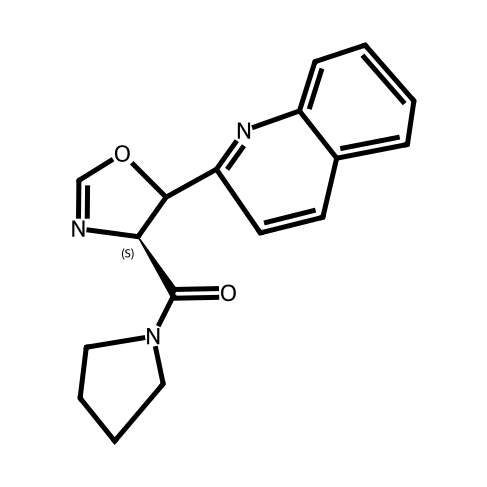 O=C([C@H]1N=COC1c1ccc2ccccc2n1)N1CCCC1